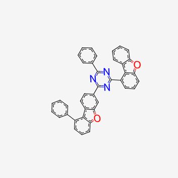 c1ccc(-c2nc(-c3ccc4c(c3)oc3cccc(-c5ccccc5)c34)nc(-c3cccc4oc5ccccc5c34)n2)cc1